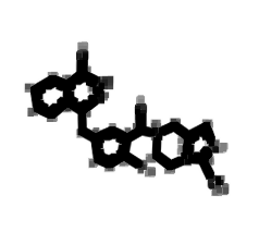 O=C(c1cc(Cc2n[nH]c(=O)c3ccccc23)ccc1F)N1CCn2c(cnc2C(F)(F)F)C1